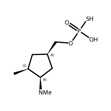 CN[C@@H]1C[C@H](COP(=O)(O)S)C[C@@H]1C